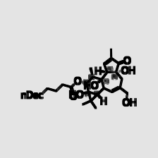 CCCCCCCCCCCCCC(=O)O[C@@H]1[C@@H](C)[C@@]2(O)C(C=C(CO)C[C@]3(O)C(=O)C(C)=C[C@@H]23)[C@@H]2C(C)(C)[C@]12O